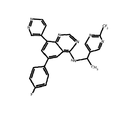 CC(Nc1ncnc2c(-c3ccnnc3)cc(-c3ccc(F)cc3)cc12)c1cnc(C(F)(F)F)nc1